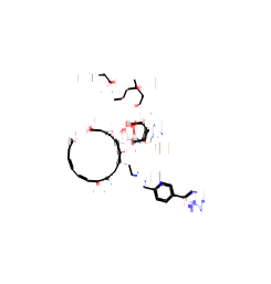 CO[C@@H]1[C@@H](O[C@@H]2O[C@H](C)[C@@H](OC3CC(C)(O)C(OC(=O)CC(C)C)C(C)O3)[C@H](N(C)C)[C@H]2O)[C@@H](CCNCc2ccc(-c3cnns3)cc2)C[C@@H](C)C(=O)C=CC=CC[C@@H](C)OC(=O)C[C@H]1O